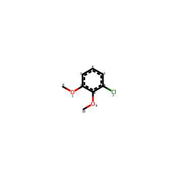 COc1cc[c]c(Cl)c1OC